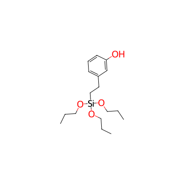 CCCO[Si](CCc1cccc(O)c1)(OCCC)OCCC